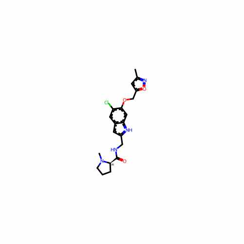 Cc1cc(COc2cc3[nH]c(CNC(=O)[C@H]4CCCN4C)cc3cc2Cl)on1